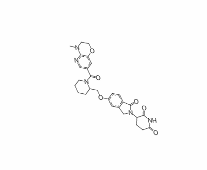 CN1CCOc2cc(C(=O)N3CCCCC3COc3ccc4c(c3)CN(C3CCC(=O)NC3=O)C4=O)cnc21